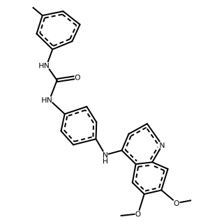 COc1cc2nccc(Nc3ccc(NC(=O)Nc4cccc(C)c4)cc3)c2cc1OC